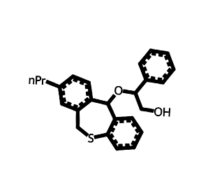 CCCc1ccc2c(c1)CSc1ccccc1C2OC(CO)c1ccccc1